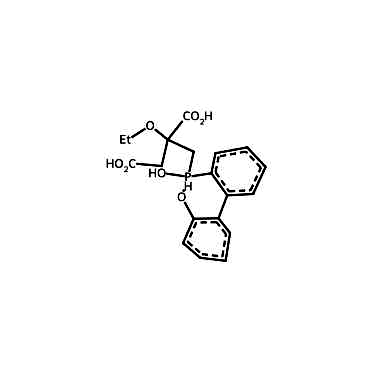 CCOC(CC(=O)O)(C[PH]1(O)Oc2ccccc2-c2ccccc21)C(=O)O